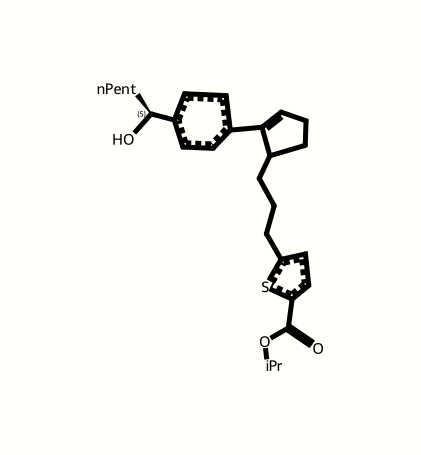 CCCCC[C@H](O)c1ccc(C2=CCCC2CCCc2ccc(C(=O)OC(C)C)s2)cc1